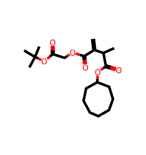 C=C(C(=O)OCC(=O)OC(C)(C)C)C(C)C(=O)OC1CCCCCCC1